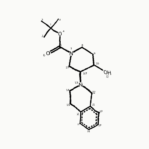 CC(C)(C)OC(=O)N1CCC(O)C(N2CCc3ccccc3C2)C1